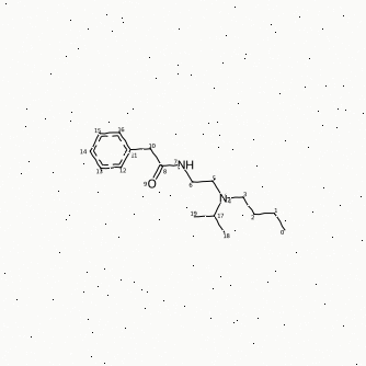 CCCCN(CCNC(=O)Cc1ccccc1)C(C)C